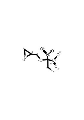 O=[N+]([O-])C(CF)(OCC1CO1)[N+](=O)[O-]